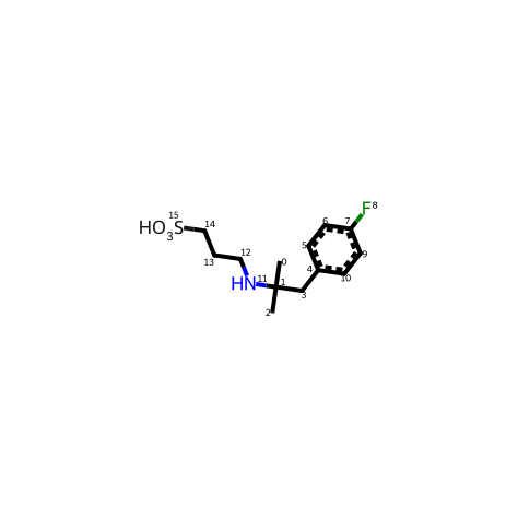 CC(C)(Cc1ccc(F)cc1)NCCCS(=O)(=O)O